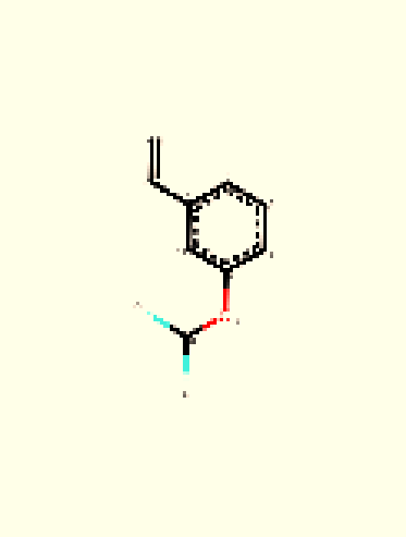 C=Cc1cccc(OC(F)F)c1